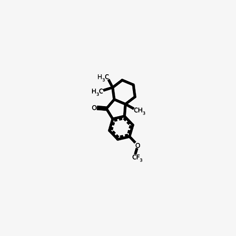 CC1(C)CCCC2(C)c3cc(OC(F)(F)F)ccc3C(=O)C12